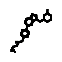 CN1CCCC(Cn2cnc3ccc(-c4ccc(CNCCN)cc4)cc32)C1